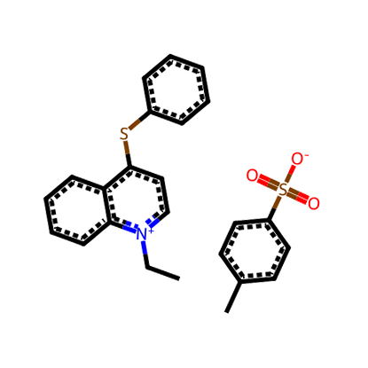 CC[n+]1ccc(Sc2ccccc2)c2ccccc21.Cc1ccc(S(=O)(=O)[O-])cc1